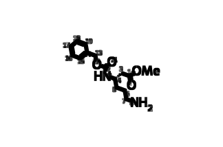 COC(=O)C[C@H](CCCN)NC(=O)OCc1ccccc1